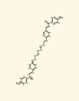 O=C(C=Cc1ccc(OCCOCCOCCOc2ccc(C=CC(=O)c3ccc(O)cc3)cc2)cc1)c1ccc(O)cc1